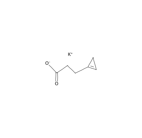 O=C([O-])CCC1=CC1.[K+]